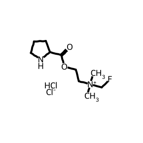 C[N+](C)(CF)CCOC(=O)C1CCCN1.Cl.[Cl-]